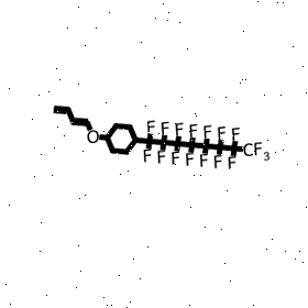 C=CC=COC1CCC(C(F)(F)C(F)(F)C(F)(F)C(F)(F)C(F)(F)C(F)(F)C(F)(F)C(F)(F)F)CC1